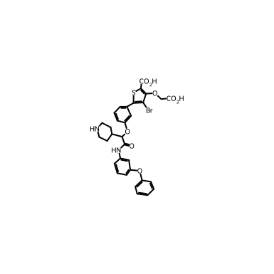 O=C(O)COc1c(C(=O)O)sc(-c2cccc(OC(C(=O)Nc3cccc(Oc4ccccc4)c3)C3CCNCC3)c2)c1Br